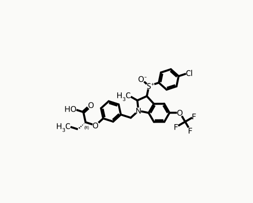 CC[C@@H](Oc1cccc(CN2c3ccc(OC(F)(F)F)cc3C([S+]([O-])c3ccc(Cl)cc3)C2C)c1)C(=O)O